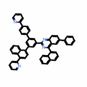 c1ccc(-c2ccc3nc(-c4cc(-c5ccc(-c6ccccn6)cc5)cc(-c5ccc(-c6ccccn6)c6ccccc56)c4)nc(-c4cccc5ccccc45)c3c2)cc1